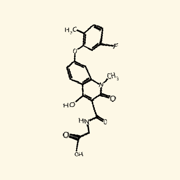 Cc1ccc(F)cc1Oc1ccc2c(O)c(C(=O)NCC(=O)O)c(=O)n(C)c2c1